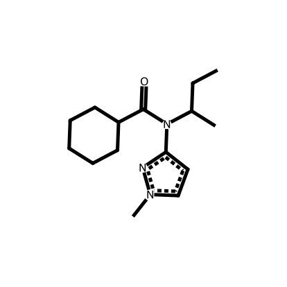 CCC(C)N(C(=O)C1CCCCC1)c1ccn(C)n1